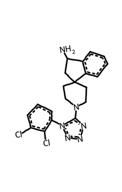 NC1CC2(CCN(c3nnnn3-c3cccc(Cl)c3Cl)CC2)c2ccccc21